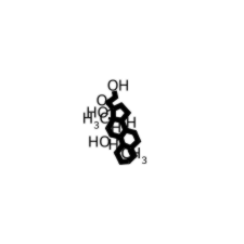 C[C@]12CCCC=C1CC[C@@H]1[C@@H]2[C@@H](O)C[C@@]2(C)[C@H]1CC[C@]2(O)C(=O)CO